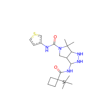 CC1(C)C2NNC(NC(=O)C3([Si](C)(C)C)CCC3)C2CN1C(=O)Nc1ccsc1